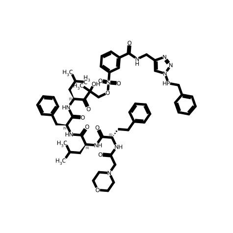 CC(C)C[C@H](NC(=O)[C@H](CCc1ccccc1)NC(=O)CN1CCOCC1)C(=O)N[C@@H](Cc1ccccc1)C(=O)N[C@@H](CC(C)C)C(=O)C(C)(O)COS(=O)(=O)c1cccc(C(=O)NCc2cn(PCc3ccccc3)nn2)c1